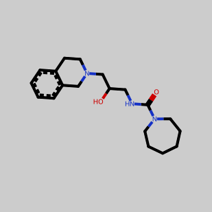 O=C(NCC(O)CN1CCc2ccccc2C1)N1CCCCCC1